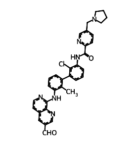 Cc1c(Nc2nccc3cc(C=O)cnc23)cccc1-c1cccc(NC(=O)c2ccc(CN3CCCC3)cn2)c1Cl